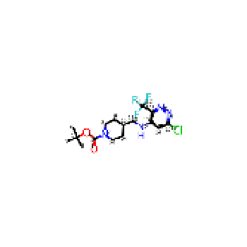 CC(C)(C)OC(=O)N1CCC(CNc2cc(Cl)nnc2C(F)(F)F)CC1